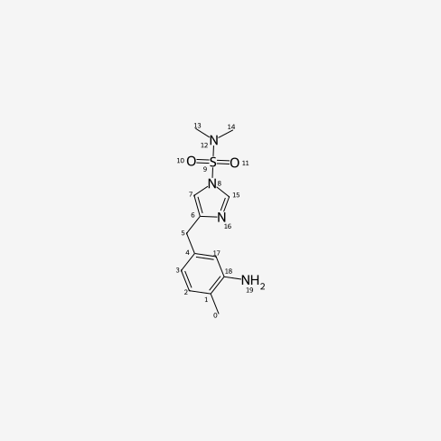 Cc1ccc(Cc2cn(S(=O)(=O)N(C)C)cn2)cc1N